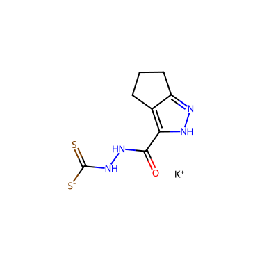 O=C(NNC(=S)[S-])c1[nH]nc2c1CCC2.[K+]